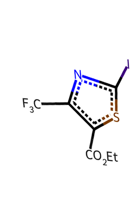 CCOC(=O)c1sc(I)nc1C(F)(F)F